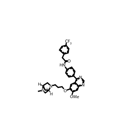 COc1cc2ncnc(-c3ccc(NC(=O)Cc4ccc(C(F)(F)F)cc4)cc3)c2cc1OCCCN1C[C@@H]2C[C@H]1CN2C